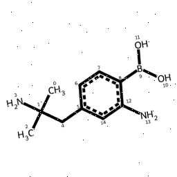 CC(C)(N)Cc1ccc(B(O)O)c(N)c1